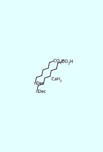 CCCCCCCCCCCCCCCC(=O)O.CCCCCCCCCCCCCCCCCC(=O)O.[CaH2]